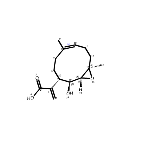 C=C(C(=O)O)[C@@H]1CC/C(C)=C\CC[C@@]2(C)O[C@@H]2[C@H]1O